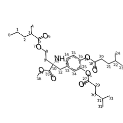 CCCC(C)C(=O)OCC[C@@](N)(Cc1ccc(OC(=O)CCC(C)C)c(OC(=O)CCC(C)C)c1)C(=O)OC